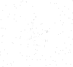 CCOP(=O)(OC)OC.N